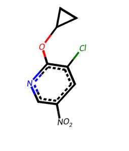 O=[N+]([O-])c1cnc(OC2CC2)c(Cl)c1